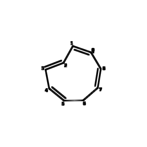 [C]1=C\C=C\C=C/C\C=C/1